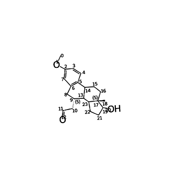 COc1ccc2c(c1)C[C@@H](CC=O)C1C2CC[C@]2(C)C(O)CCC12